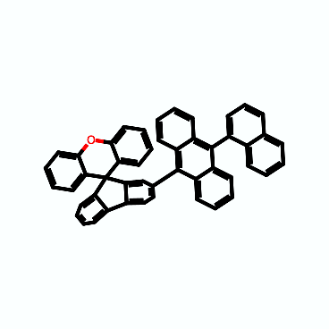 c1ccc2c(c1)Oc1ccccc1C21c2ccccc2-c2ccc(-c3c4ccccc4c(-c4cccc5ccccc45)c4ccccc34)cc21